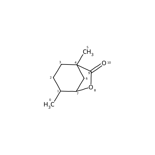 CC1CCC2(C)CC1OC2=O